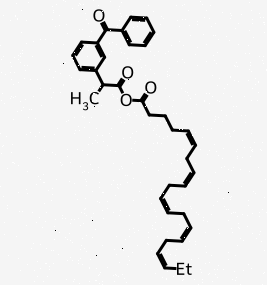 CC/C=C\C/C=C\C/C=C\C/C=C\C/C=C\CCCC(=O)OC(=O)C(C)c1cccc(C(=O)c2ccccc2)c1